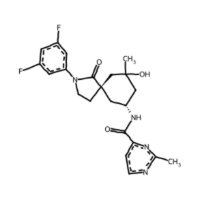 Cc1nccc(C(=O)N[C@H]2CC(C)(O)C[C@]3(CCN(c4cc(F)cc(F)c4)C3=O)C2)n1